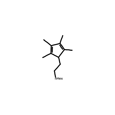 CCCCCCCCC1C(C)=C(C)C(C)=C1C